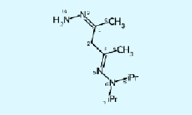 C/C(C/C(C)=N/N(C(C)C)C(C)C)=N/N